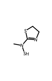 CN(S)C1=NCCS1